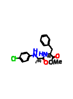 COC(=O)[C@H](Cc1ccccc1)NC(=O)[C@H](C)Nc1ccc(Cl)cc1